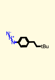 CC(C)(C)CCc1ccc(N=[N+]=[N-])cc1